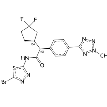 Cn1nnc(-c2ccc([C@@H](C(=O)Nc3nnc(Br)s3)[C@H]3CCC(F)(F)C3)cc2)n1